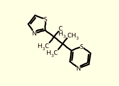 CC(C)(C1=CN=C=CS1)C(C)(C)c1nccs1